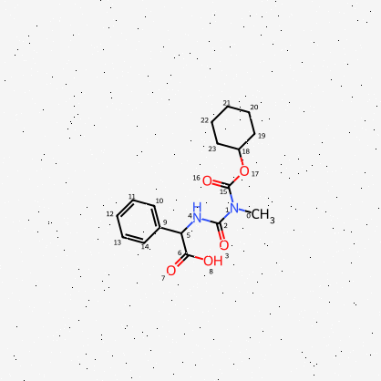 CN(C(=O)NC(C(=O)O)c1ccccc1)C(=O)OC1CCCCC1